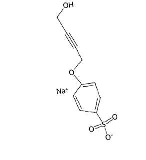 O=S(=O)([O-])c1ccc(OCC#CCO)cc1.[Na+]